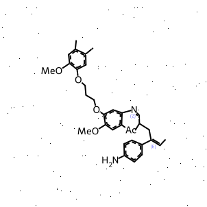 C/C=C(\CC(C)/C=N\c1cc(OCCCOc2cc(C)c(C)cc2OC)c(OC)cc1C(C)=O)c1ccc(N)cc1